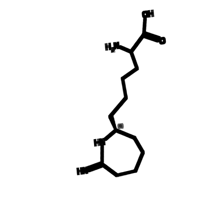 N=C1CCCC[C@H](CCCCC(N)C(=O)O)N1